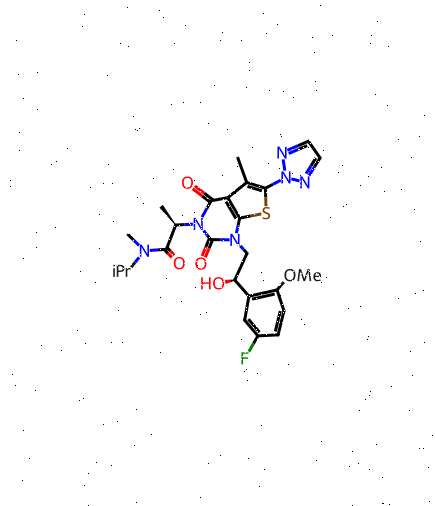 COc1ccc(F)cc1[C@@H](O)Cn1c(=O)n([C@H](C)C(=O)N(C)C(C)C)c(=O)c2c(C)c(-n3nccn3)sc21